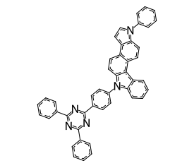 c1ccc(-c2nc(-c3ccccc3)nc(-c3ccc(-n4c5ccccc5c5c6ccc7c(ccn7-c7ccccc7)c6ccc54)cc3)n2)cc1